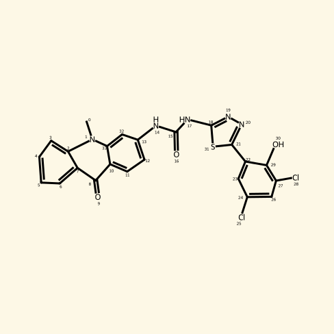 Cn1c2ccccc2c(=O)c2ccc(NC(=O)Nc3nnc(-c4cc(Cl)cc(Cl)c4O)s3)cc21